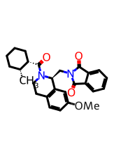 COc1ccc2c(c1)[C@H](CN1C(=O)c3ccccc3C1=O)N(C(=O)[C@H]1CCCC[C@H]1C)CC2